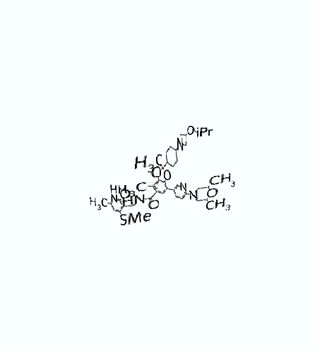 CSc1cc(C)[nH]c(=O)c1CNC(=O)c1cc(-c2ccc(N3CC(C)OC(C)C3)nc2)c2c(c1C)OC(C)(C1CCC(N3CC(OC(C)C)C3)CC1)O2